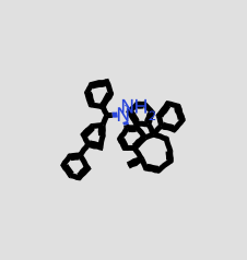 C=C1/C=C\C=C/CC(c2ccccc2)(c2ccccc2)c2cc(N(N)C(c3ccccc3)c3ccc(-c4ccccc4)cc3)ccc21